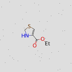 CCOC(=O)C1=CSCN1